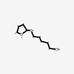 N#CCCCCCOC1CCCO1